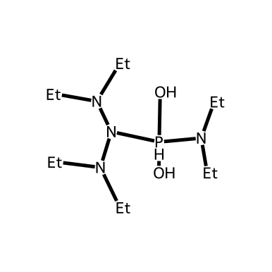 CCN(CC)N(N(CC)CC)[PH](O)(O)N(CC)CC